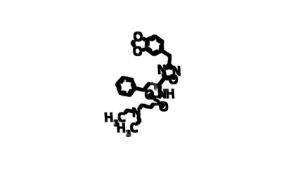 CCN(CC)CCS(=O)(=O)N[C@H](CCc1ccccc1)c1nc(Cc2ccc3c(c2)OCO3)no1